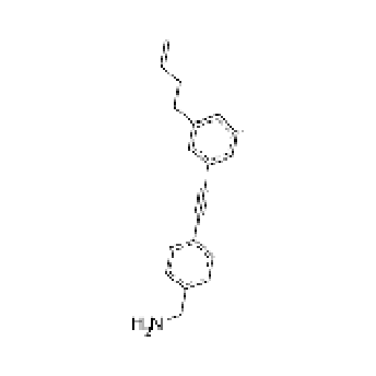 C=CCCc1c[c]cc(C#Cc2ccc(CN)cc2)c1